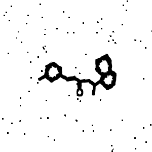 Cc1cccc(/C=C/C(=O)CC(C)c2cccc3ccccc23)c1